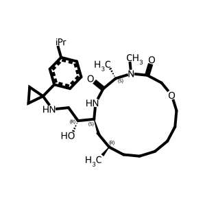 CC(C)c1cccc(C2(NC[C@@H](O)[C@@H]3C[C@H](C)CCCCCCOCC(=O)N(C)[C@@H](C)C(=O)N3)CC2)c1